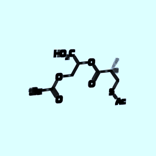 CC(=O)SC[C@@H](C)C(=O)OC(COC(=O)C(C)(C)C)C(=O)O